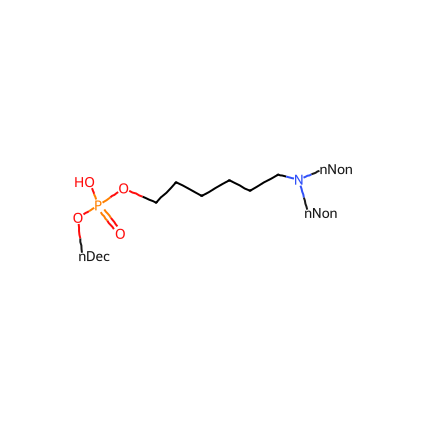 CCCCCCCCCCOP(=O)(O)OCCCCCCN(CCCCCCCCC)CCCCCCCCC